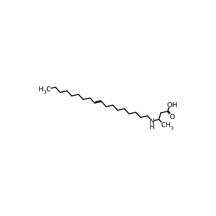 CCCCCCCCC=CCCCCCCCCNC(C)CC(=O)O